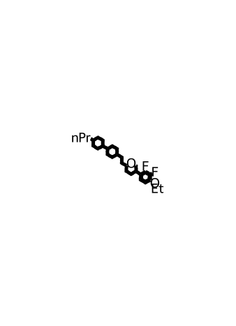 CCCC1CCC(C2CCC(CCC3CCC(c4ccc(OCC)c(F)c4F)CO3)CC2)CC1